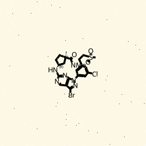 CNC(=O)[C@]1(C)CC[C@@H](Nc2ncc3c(Br)nn(-c4cc(Cl)cc(CCS(C)(=O)=O)c4)c3n2)C1